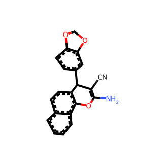 N#CC1=C(N)Oc2c(ccc3ccccc23)C1c1ccc2c(c1)OCO2